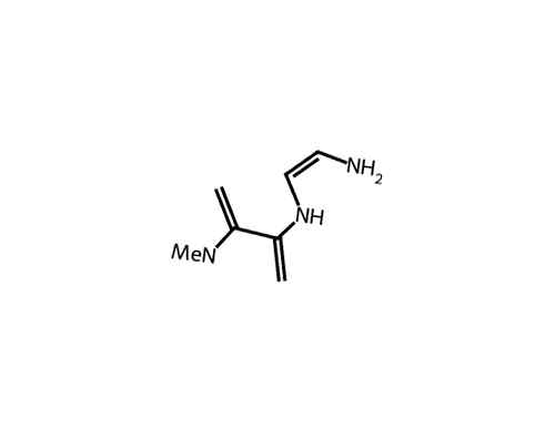 C=C(NC)C(=C)N/C=C\N